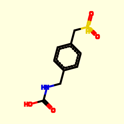 O=C(O)NCc1ccc(C[SH](=O)=O)cc1